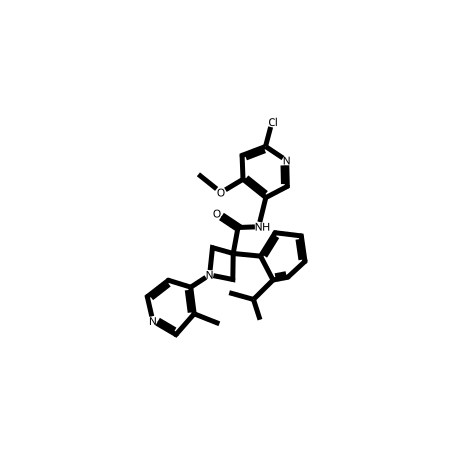 COc1cc(Cl)ncc1NC(=O)C1(c2ccccc2C(C)C)CN(c2ccncc2C)C1